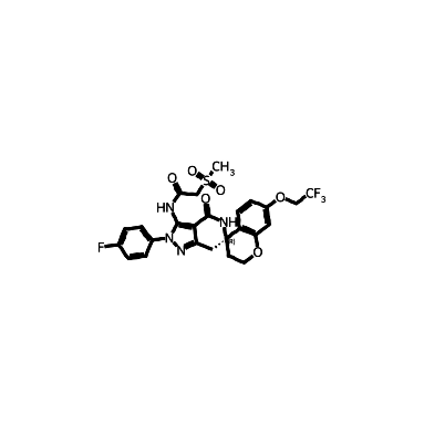 CS(=O)(=O)CC(=O)Nc1c2c(nn1-c1ccc(F)cc1)C[C@]1(CCOc3cc(OCC(F)(F)F)ccc31)NC2=O